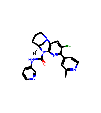 Cc1cc(-c2nc3c(cc2Cl)N2CCC[C@@H](C2)N3C(=O)Nc2cccnc2)ccn1